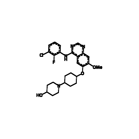 COc1cc2ncnc(Nc3cccc(Cl)c3F)c2cc1OC1CCC(N2CCC(O)CC2)CC1